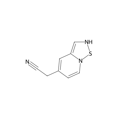 N#CCC1=CC2=CNSN2C=C1